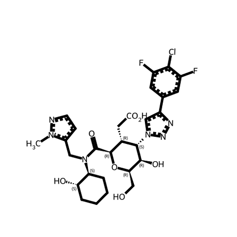 Cn1nccc1CN(C(=O)[C@@H]1O[C@H](CO)[C@H](O)[C@@H](n2cc(-c3cc(F)c(Cl)c(F)c3)nn2)[C@H]1CC(=O)O)[C@H]1CCCC[C@@H]1O